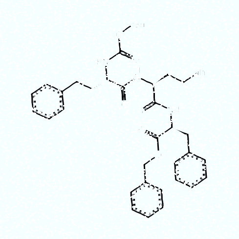 CC(C)CC[C@H](NC(=O)[C@H](CCc1ccccc1)NC(=O)OC(C)(C)C)C(=O)N[C@@H](Cc1ccccc1)C(=O)OCc1ccccc1